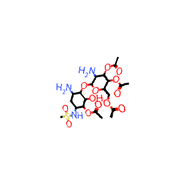 CC(=O)OCC1OC(OC2C(N)CC(NS(C)(=O)=O)C(OC(C)=O)C2O)C(N)C(OC(C)=O)C1OC(C)=O